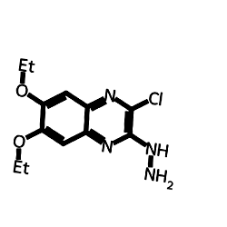 CCOc1cc2nc(Cl)c(NN)nc2cc1OCC